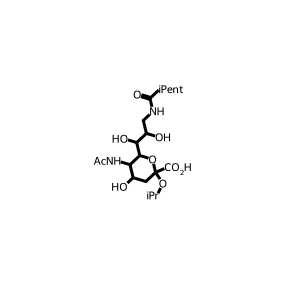 CCCC(C)C(=O)NCC(O)C(O)C1OC(OC(C)C)(C(=O)O)CC(O)C1NC(C)=O